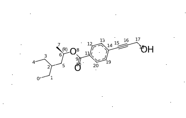 CCC(CC)C[C@@H](C)OC(=O)c1ccc(C#CCO)cc1